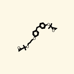 CC(C)(OCCCOc1ccc(Cc2ccc(OC(C)(C)C3CO3)cc2)cc1)C1CO1